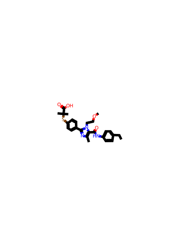 CCc1ccc(NC(=O)c2c(C)nc(-c3ccc(SC(C)(C)C(=O)O)cc3)n2CCOC)cc1